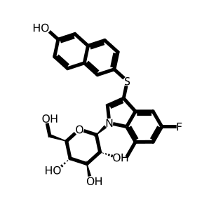 Cc1cc(F)cc2c(Sc3ccc4cc(O)ccc4c3)cn([C@@H]3O[C@H](CO)[C@@H](O)[C@H](O)[C@H]3O)c12